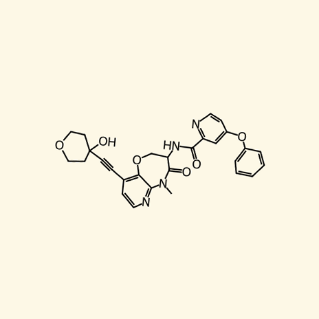 CN1C(=O)C(NC(=O)c2cc(Oc3ccccc3)ccn2)COc2c(C#CC3(O)CCOCC3)ccnc21